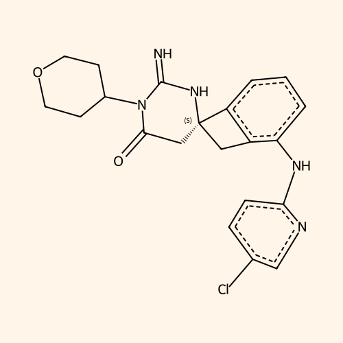 N=C1N[C@]2(CC(=O)N1C1CCOCC1)Cc1c(Nc3ccc(Cl)cn3)cccc12